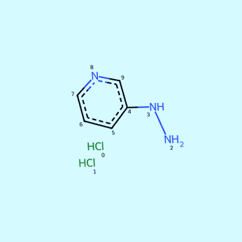 Cl.Cl.NNc1cccnc1